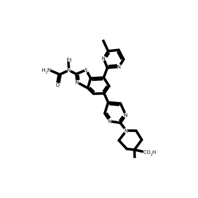 CCN(C(N)=O)c1nc2cc(-c3cnc(N4CCC(C)(C(=O)O)CC4)nc3)cc(-c3nccc(C)n3)c2s1